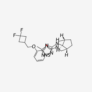 Cc1nsc(N2C[C@H]3CC[C@@H](C2)[C@@H]3Nc2nc3c(OCC4CC(F)(F)C4)cccn3n2)n1